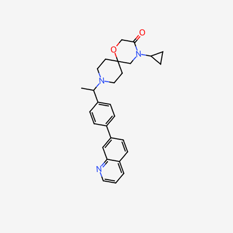 CC(c1ccc(-c2ccc3cccnc3c2)cc1)N1CCC2(CC1)CN(C1CC1)C(=O)CO2